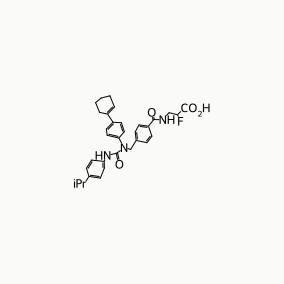 CC(C)c1ccc(NC(=O)N(Cc2ccc(C(=O)NCC(F)C(=O)O)cc2)c2ccc(C3=CCCCC3)cc2)cc1